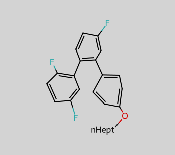 CCCCCCCOc1ccc(-c2cc(F)ccc2-c2cc(F)ccc2F)cc1